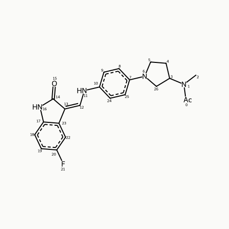 CC(=O)N(C)C1CCN(c2ccc(NC=C3C(=O)Nc4ccc(F)cc43)cc2)C1